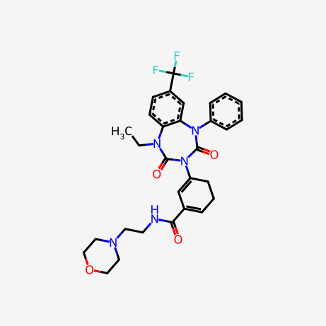 CCN1C(=O)N(C2=CC(C(=O)NCCN3CCOCC3)=CCC2)C(=O)N(c2ccccc2)c2cc(C(F)(F)F)ccc21